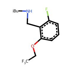 CCC(C)NCc1c(F)cccc1OCC(F)(F)F